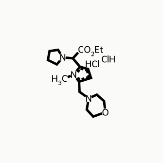 CCOC(=O)C(c1ccc(CN2CCOCC2)n1C)N1CCCC1.Cl.Cl